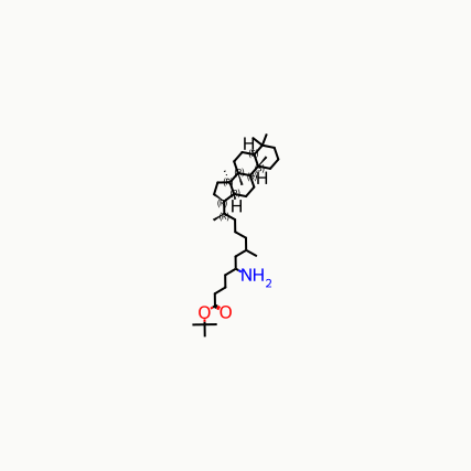 CC(CCC[C@@H](C)[C@H]1CC[C@]2(C)[C@@H]1CC[C@@H]1[C@@]3(C)CCCC(C)(C)[C@@H]3CC[C@]12C)CC(N)CCCC(=O)OC(C)(C)C